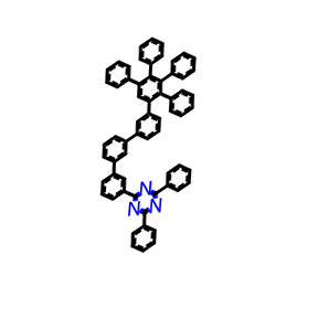 c1ccc(-c2nc(-c3ccccc3)nc(-c3cccc(-c4cccc(-c5cccc(-c6cc(-c7ccccc7)c(-c7ccccc7)c(-c7ccccc7)c6-c6ccccc6)c5)c4)c3)n2)cc1